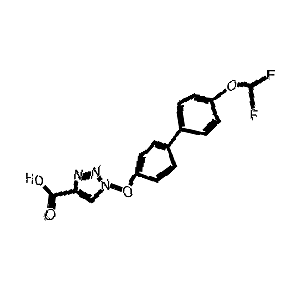 O=C(O)c1cn(Oc2ccc(-c3ccc(OC(F)F)cc3)cc2)nn1